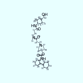 Cc1cc(NC(=O)CCCN(C)C(=O)CCN2CCC(OC(=O)Nc3ccccc3-c3ccccc3)CC2)c(C)cc1CO